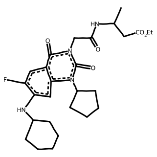 CCOC(=O)CC(C)NC(=O)Cn1c(=O)c2cc(F)c(NC3CCCCC3)cc2n(C2CCCC2)c1=O